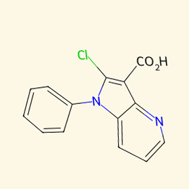 O=C(O)c1c(Cl)n(-c2ccccc2)c2cccnc12